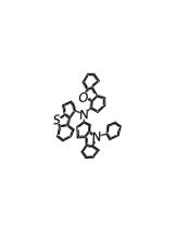 c1ccc(-n2c3ccccc3c3ccc(N(c4cccc5c4oc4ccccc45)c4cccc5sc6ccccc6c45)cc32)cc1